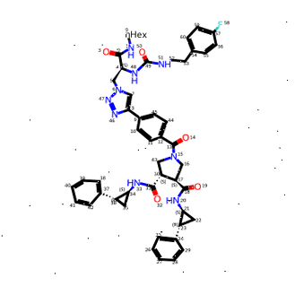 CCCCCCNC(=O)[C@H](Cn1cc(-c2ccc(C(=O)N3C[C@@H](C(=O)N[C@H]4C[C@@H]4c4ccccc4)[C@H](C(=O)N[C@H]4C[C@@H]4c4ccccc4)C3)cc2)nn1)NC(=O)NCCc1ccc(F)cc1